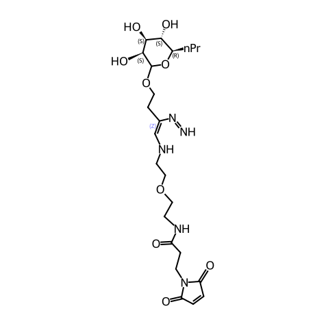 CCC[C@H]1OC(OCC/C(=C/NCCOCCNC(=O)CCN2C(=O)C=CC2=O)N=N)[C@@H](O)[C@@H](O)[C@@H]1O